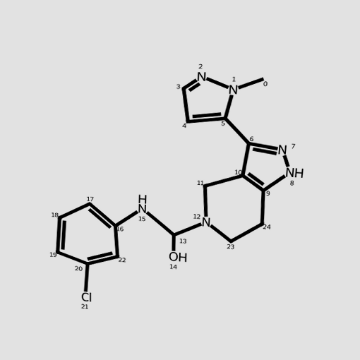 Cn1nccc1-c1n[nH]c2c1CN(C(O)Nc1cccc(Cl)c1)CC2